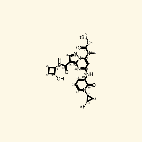 CN(C(=O)OC(C)(C)C)c1cc(Nc2cccn([C@H]3C[C@@H]3F)c2=O)nc2c(C(=O)N[C@H]3CC[C@H]3O)cnn12